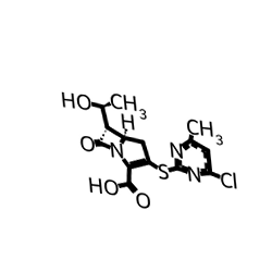 Cc1cc(Cl)nc(SC2=C(C(=O)O)N3C(=O)[C@H]([C@H](C)O)[C@H]3C2)n1